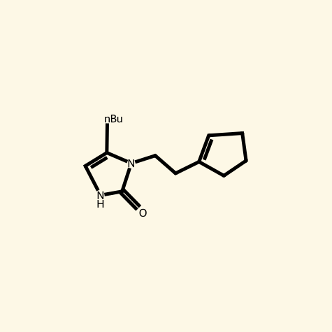 CCCCc1c[nH]c(=O)n1CCC1=CCCC1